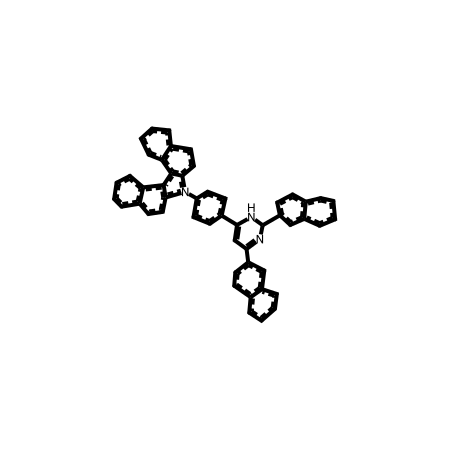 C1=C(c2ccc(-n3c4ccc5ccccc5c4c4c5ccccc5ccc43)cc2)NC(c2ccc3ccccc3c2)N=C1c1ccc2ccccc2c1